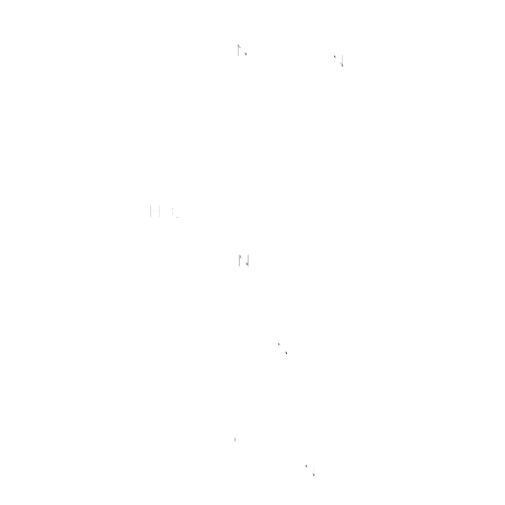 CC(c1ccc2nccnc2c1)N1CCN(C2CCNC2=O)CC1